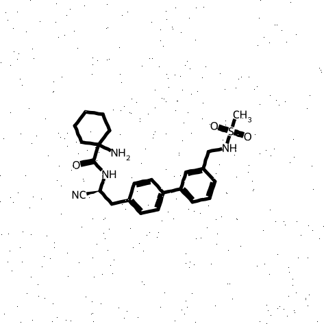 CS(=O)(=O)NCc1cccc(-c2ccc(C[C@@H](C#N)NC(=O)C3(N)CCCCC3)cc2)c1